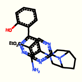 CCOC(=O)c1cnc(N2C3CCC2CN(c2cc(-c4ccccc4O)nnc2N)C3)nc1